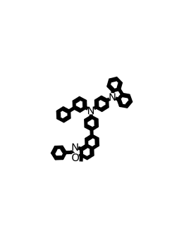 CC12CC=c3ccc(-c4ccc(N(c5ccc(-n6c7ccccc7c7ccccc76)cc5)c5cccc(-c6ccccc6)c5)cc4)cc3=C1N=C(c1ccccc1)O2